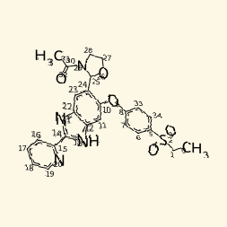 CCS(=O)(=O)c1ccc(Oc2cc3[nH]c(-c4ccccn4)nc3cc2C2OCCN2C(C)=O)cc1